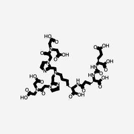 O=C(O)CC[C@H](NC(=O)N[C@@H](CCC(=O)N[C@@H](CCCCN(Cc1nccn1CC(=O)N(CC(=O)O)CC(=O)O)Cc1nccn1CC(=O)N(CC(=O)O)CC(=O)O)C(=O)O)C(=O)O)C(=O)O